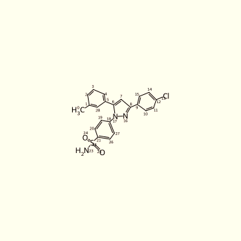 Cc1cccc(-c2cc(-c3ccc(Cl)cc3)nn2-c2ccc(S(N)(=O)=O)cc2)c1